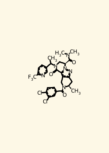 CC(c1ccc(C(F)(F)F)nc1)N1C[C@@H](C(=O)N(C)C)n2nc3c(c2C1=O)CN(C(=O)c1ccc(Cl)c(Cl)c1)[C@H](C)C3